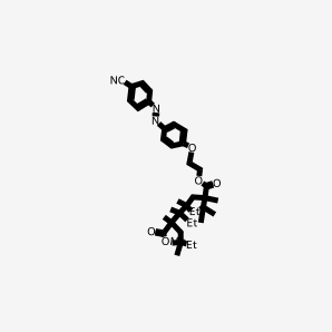 CCC(C)(C)CC(C)(C(=O)OC)C(C)(CC)C(C)(C)CC(C)(C(=O)OCCOc1ccc(/N=N/c2ccc(C#N)cc2)cc1)C(C)(C)CC